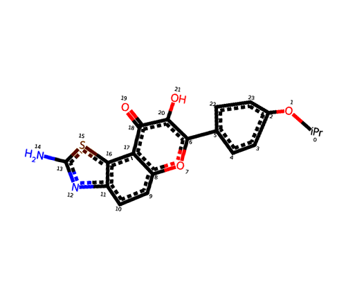 CC(C)Oc1ccc(-c2oc3ccc4nc(N)sc4c3c(=O)c2O)cc1